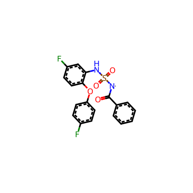 O=C([N]S(=O)(=O)Nc1cc(F)ccc1Oc1ccc(F)cc1)c1ccccc1